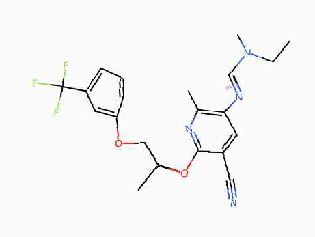 CCN(C)/C=N/c1cc(C#N)c(OC(C)COc2cccc(C(F)(F)F)c2)nc1C